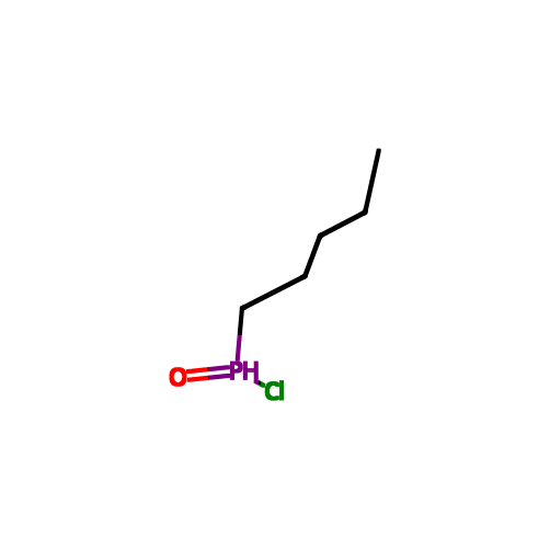 CCCCC[PH](=O)Cl